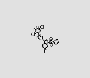 O=S(=O)(c1ccccc1)n1cc(-c2cnn(-c3cc(Cl)nnc3Cl)c2)c2ccc(F)cc21